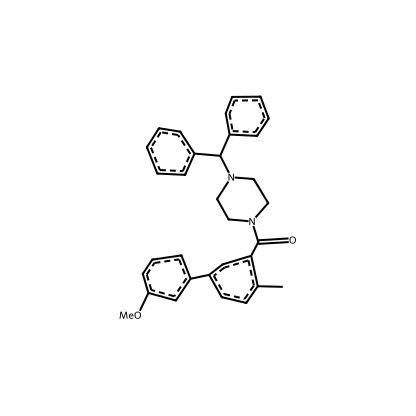 COc1cccc(-c2ccc(C)c(C(=O)N3CCN(C(c4ccccc4)c4ccccc4)CC3)c2)c1